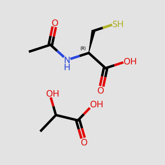 CC(=O)N[C@@H](CS)C(=O)O.CC(O)C(=O)O